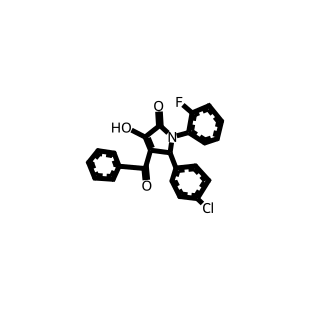 O=C(C1=C(O)C(=O)N(c2ccccc2F)C1c1ccc(Cl)cc1)c1ccccc1